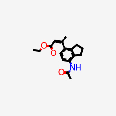 CCOC(=O)/C=C(/C)c1ccc(NC(C)=O)c2c1CCC2